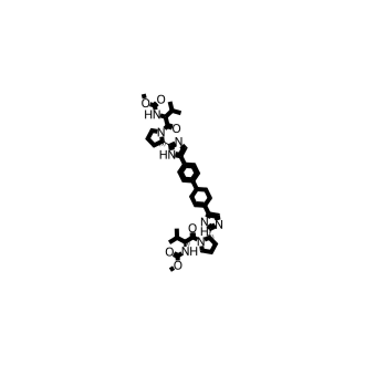 COC(=O)NC(C(=O)N1CCC[C@H]1c1ncc(-c2ccc(C3CC=C(c4cnc([C@@H]5CCCN5C(=O)[C@@H](NC(=O)OC)C(C)C)[nH]4)CC3)cc2)[nH]1)C(C)C